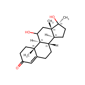 C[C@]12CCC(=O)C=C1CC[C@@H]1[C@@H]2C(O)C[C@@]2(C)[C@H]1CC[C@]2(C)O